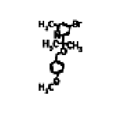 COc1ccc(COC(C)(C)c2cc(Br)cc(C)n2)cc1